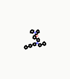 c1ccc(-c2ccc(-c3ccc(N(c4cccc(-c5ccccc5)c4)c4cccc(-c5cccc6c5oc5c7ccccc7n(-c7ccccc7)c65)c4)cc3)cc2)cc1